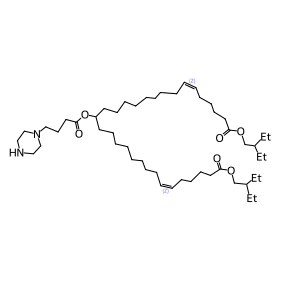 CCC(CC)COC(=O)CCCC/C=C\CCCCCCCCC(CCCCCCCC/C=C\CCCCC(=O)OCC(CC)CC)OC(=O)CCCN1CCNCC1